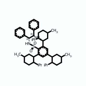 CC1CCC(C(C)C)C(c2cc(C3CC(C)CCC3C(C)C)c(S(=O)(=O)N[C@H](c3ccccc3)[C@H](N)c3ccccc3)c(C3CC(C)CCC3C(C)C)c2)C1